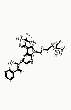 CN(C(=O)c1ccccc1)c1cnc2c(n1)c(C(=O)C(C)(C)C)cn2COCC[Si](C)(C)C